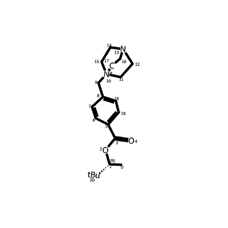 C[C@@H](OC(=O)c1ccc(C[N+]23CCN(CC2)CC3)cc1)C(C)(C)C